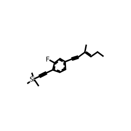 CC/C=C(\C)C#Cc1ccc(C#C[Si](C)(C)C)c(F)c1